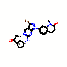 CNC(=O)[C@]1(C)CC[C@@H](Nc2ncc3c(Br)nn(-c4ccc5c(c4)N(C)C(=O)CC5)c3n2)C1